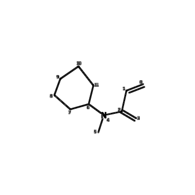 C=CC(=C)N(C)C1CCCCC1